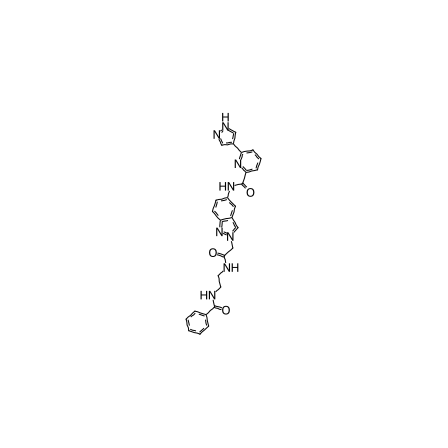 O=C(Cn1cc2cc(NC(=O)c3cccc(-c4cn[nH]c4)n3)ccc2n1)NCCNC(=O)c1ccccc1